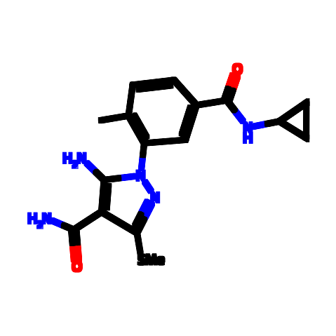 CSc1nn(-c2cc(C(=O)NC3CC3)ccc2C)c(N)c1C(N)=O